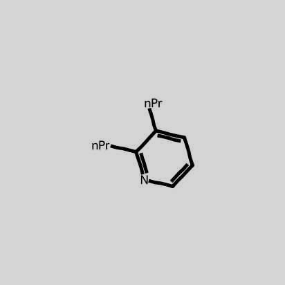 CCCc1cccnc1CCC